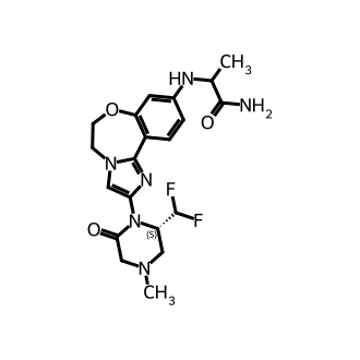 CC(Nc1ccc2c(c1)OCCn1cc(N3C(=O)CN(C)C[C@H]3C(F)F)nc1-2)C(N)=O